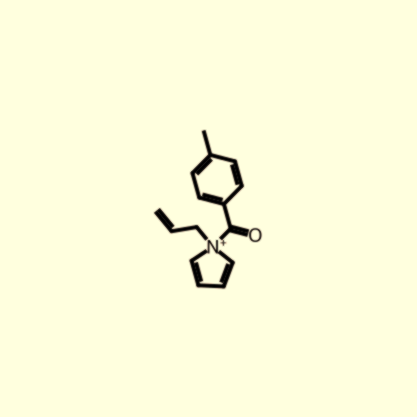 C=CC[N+]1(C(=O)c2ccc(C)cc2)C=CC=C1